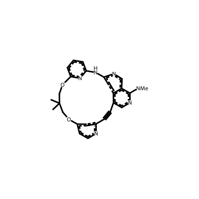 CNc1ncc2c3cc(ncc13)Nc1cccc(n1)OCC(C)(C)COc1ccnc(c1)C#C2